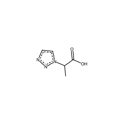 CC(C(=O)O)n1ccnn1